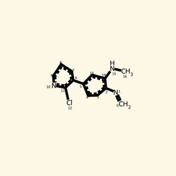 C=Nc1ccc(-c2cccnc2Cl)cc1NC